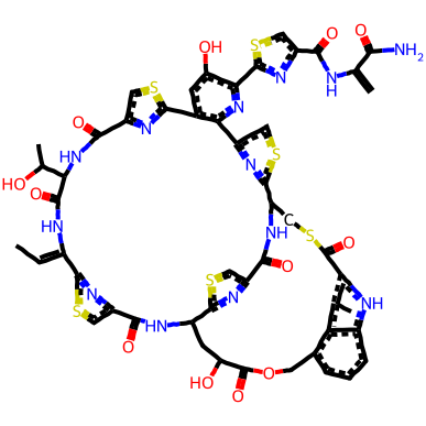 C=C(NC(=O)c1csc(-c2nc3c(cc2O)-c2nc(cs2)C(=O)NC(C(C)O)C(=O)N/C(=C\C)c2nc(cs2)C(=O)NC2CC(O)C(=O)OCc4cccc5[nH]c(c(C)c45)C(=O)SCC(NC(=O)c4csc2n4)c2nc-3cs2)n1)C(N)=O